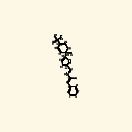 CC(=C\c1ccccc1)/N=C/c1ccc(C2(C)C=CC(C(C)(F)F)=CC2)o1